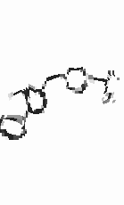 Fc1cc(CN2CCN(C(C(F)(F)F)C(F)(F)F)CC2)ccc1-n1cccn1